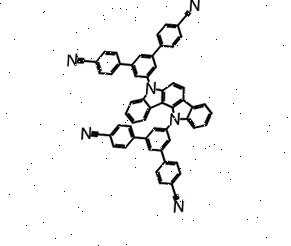 N#Cc1ccc(-c2cc(-c3ccc(C#N)cc3)cc(-n3c4ccccc4c4c3ccc3c5ccccc5n(-c5cc(-c6ccc(C#N)cc6)cc(-c6ccc(C#N)cc6)c5)c34)c2)cc1